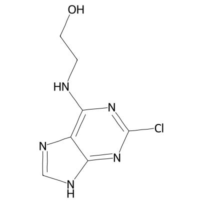 OCCNc1nc(Cl)nc2[nH]cnc12